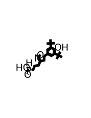 CC(C)(C)c1cc(C2CC(CCC[PH](=O)O)=NO2)cc(C(C)(C)C)c1O